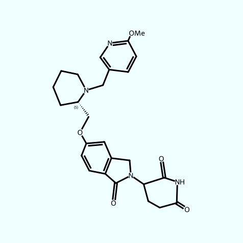 COc1ccc(CN2CCCC[C@H]2COc2ccc3c(c2)CN(C2CCC(=O)NC2=O)C3=O)cn1